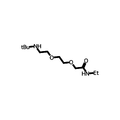 CCNC(=O)COCCOCCNC(C)(C)C